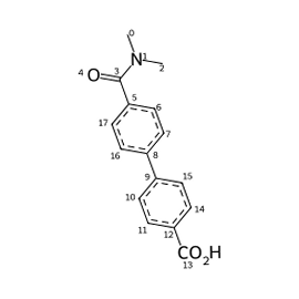 CN(C)C(=O)c1ccc(-c2ccc(C(=O)O)cc2)cc1